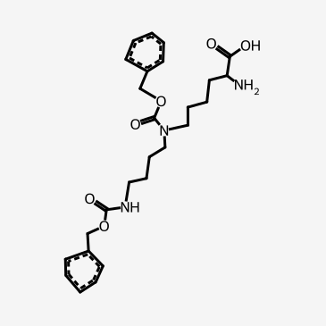 NC(CCCCN(CCCCNC(=O)OCc1ccccc1)C(=O)OCc1ccccc1)C(=O)O